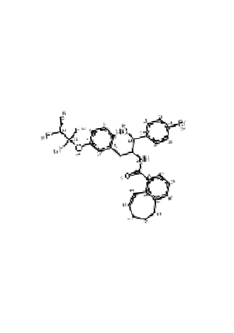 O=C(NC(Cc1cccc(OC(F)(F)C(F)F)c1)C(O)c1ccc(Br)cc1)c1cccc2c1C=CCCC2